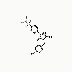 CCc1[nH]n(-c2ccc(S(=O)(=O)N(CC)CC)cn2)c(=O)c1Cc1ccc(Cl)cc1